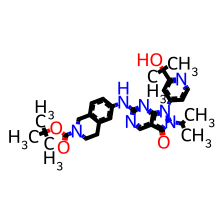 CC(C)n1c(=O)c2cnc(Nc3ccc4c(c3)CCN(C(=O)OC(C)(C)C)C4)nc2n1-c1ccnc(C(C)(C)O)c1